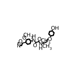 COc1cc(NC(=O)C(=O)NC(C)(C)CCOc2ccc(O)cc2)ccc1-c1cnco1